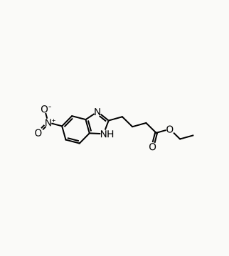 CCOC(=O)CCCc1nc2cc([N+](=O)[O-])ccc2[nH]1